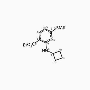 CCOC(=O)c1cnc(SC)nc1NC1CCC1